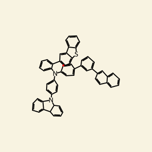 C1=CC2c3ccccc3N(c3ccc(N(c4ccc(-c5cccc(-c6ccc7ccccc7c6)c5)cc4)c4ccccc4-c4ccc5sc6ccccc6c5c4)cc3)C2C=C1